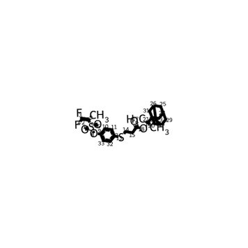 CC(=C(F)F)S(=O)(=O)Oc1ccc(SCCC(=O)OC(C)(C)C23CC4CC(CC(C4)C2)C3)cc1